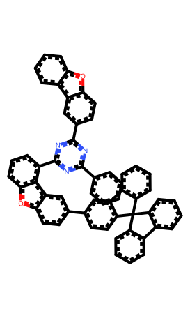 c1ccc(-c2nc(-c3ccc4oc5ccccc5c4c3)nc(-c3cccc4oc5ccc(-c6ccc7c(c6)-c6ccccc6C76c7ccccc7-c7ccccc76)cc5c34)n2)cc1